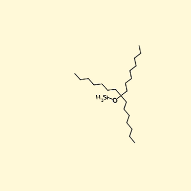 CCCCCCCCC(CCCCCCC)(CCCCCCC)O[SiH3]